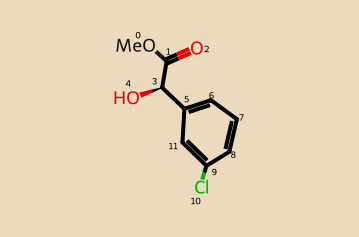 COC(=O)[C@H](O)c1cccc(Cl)c1